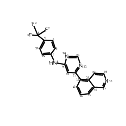 FC(F)(F)c1ccc(Nc2cc(-c3cccc4cnccc34)ncn2)cc1